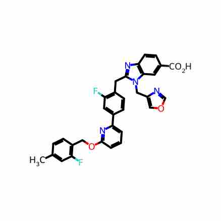 Cc1ccc(COc2cccc(-c3ccc(Cc4nc5ccc(C(=O)O)cc5n4Cc4cocn4)c(F)c3)n2)c(F)c1